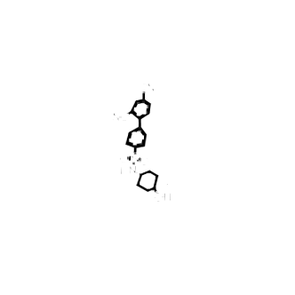 C[C@]1(O)CC[C@H](NS(=O)(=O)c2ccc(-c3ccc(C#N)cc3C#N)cc2)CC1